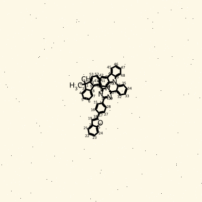 CC1(C)c2ccccc2-c2c(-c3nc(-c4ccc(-c5cc6ccccc6o5)cc4)nc(-c4ccccc4-n4c5ccccc5c5ccccc54)n3)cccc21